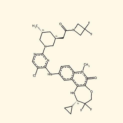 C[C@@H]1C[C@@H](CC(=O)N2CC(F)(F)C2)CN(c2ncc(Cl)c(Nc3ccc4c(c3)c3c(c(=O)n4C)OCC(F)(F)[C@H](C4CC4)N3)n2)C1